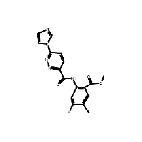 COC(=O)c1cc(C)c(F)cc1NC(=O)c1ccc(-n2ccnc2)nn1